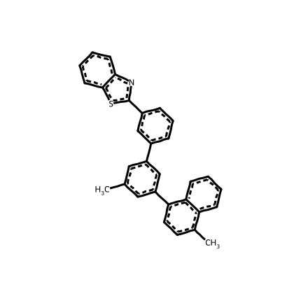 Cc1cc(-c2cccc(-c3nc4ccccc4s3)c2)cc(-c2ccc(C)c3ccccc23)c1